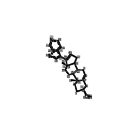 C[C@]12CC[C@H](O)CC1=CCC1C2CC[C@]2(C)C(c3cnn4cnccc34)=CCC12